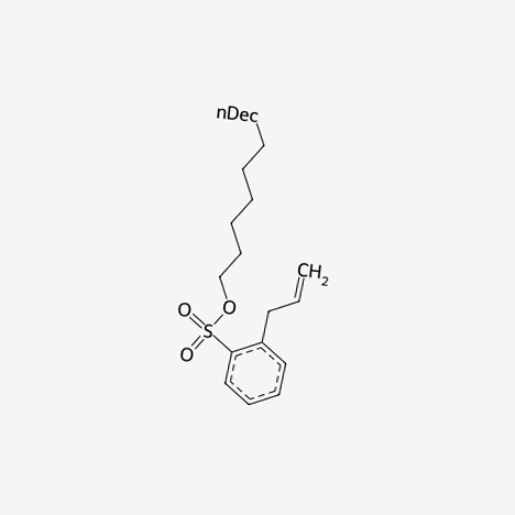 C=CCc1ccccc1S(=O)(=O)OCCCCCCCCCCCCCCCC